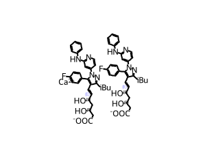 CCC(C)c1nn(-c2ccnc(Nc3ccccc3)c2)c(-c2ccc(F)cc2)c1/C=C/[C@@H](O)C[C@@H](O)CC(=O)[O-].CCC(C)c1nn(-c2ccnc(Nc3ccccc3)c2)c(-c2ccc(F)cc2)c1/C=C/[C@@H](O)C[C@@H](O)CC(=O)[O-].[Ca+2]